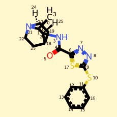 C[C@H]1[C@H](NC(=O)c2nnc(Sc3ccccc3)s2)C2CCN1CC2